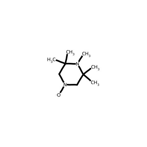 CN1C(C)(C)CN([O])CC1(C)C